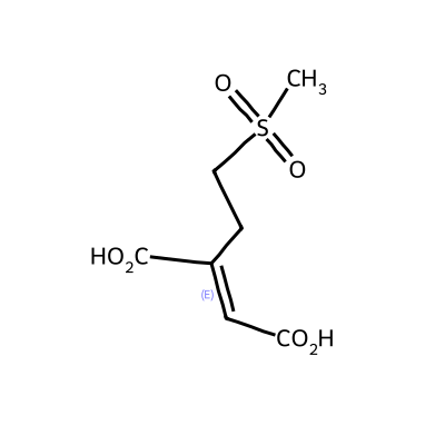 CS(=O)(=O)CC/C(=C\C(=O)O)C(=O)O